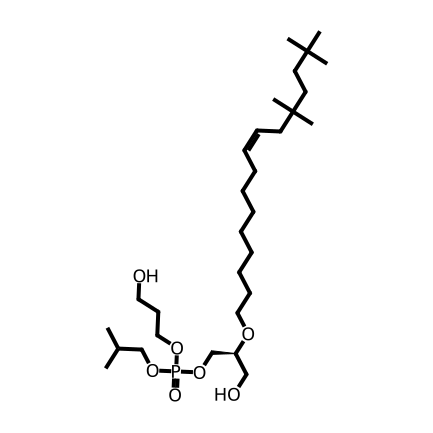 CC(C)COP(=O)(OCCCO)OC[C@H](CO)OCCCCCCCC/C=C\CC(C)(C)CCC(C)(C)C